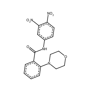 O=C(Nc1ccc([N+](=O)[O-])c([N+](=O)[O-])c1)c1ccccc1N1CCOCC1